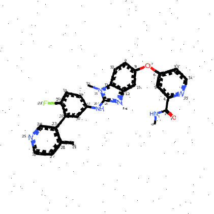 CNC(=O)c1cc(Oc2ccc3c(c2)nc(Nc2ccc(F)c(-c4cnccc4C)c2)n3C)ccn1